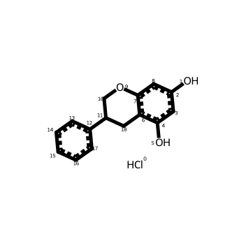 Cl.Oc1cc(O)c2c(c1)OCC(c1ccccc1)C2